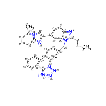 CCCc1nc2ccc(-c3cn4c(C)cccc4n3)cc2n1Cc1ccc(-c2ccccc2-c2nnn[nH]2)cc1